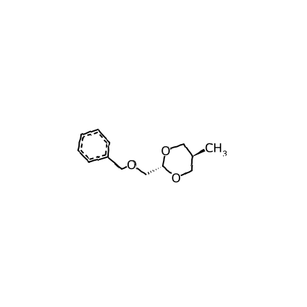 C[C@H]1CO[C@H](COCc2ccccc2)OC1